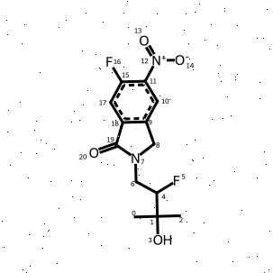 CC(C)(O)C(F)CN1Cc2cc([N+](=O)[O-])c(F)cc2C1=O